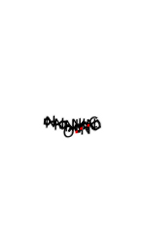 O=C(NC1CCN(CCN2CCCC2)CC1)c1ccc2nc(N3CCCCCC3)ccc2n1